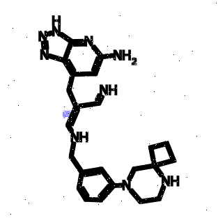 N=C/C(=C\NCc1cccc(N2CCNC3(CCC3)C2)c1)Cc1cc(N)nc2[nH]nnc12